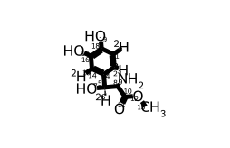 [2H]c1c([2H])c([C@]([2H])(O)[C@@H](N)C(=O)OC)c([2H])c(O)c1O